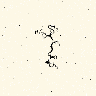 C=CC(=O)OCC[SiH2]C(OC)OC